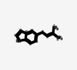 CC(C)=CCc1ccc2[nH]ccc2c1